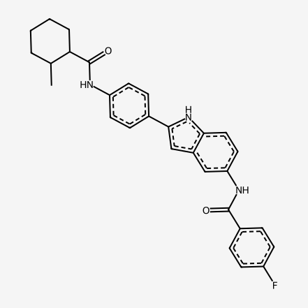 CC1CCCCC1C(=O)Nc1ccc(-c2cc3cc(NC(=O)c4ccc(F)cc4)ccc3[nH]2)cc1